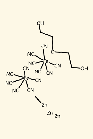 N#[C][Fe]([C]#N)([C]#N)([C]#N)([C]#N)[C]#N.N#[C][Fe]([C]#N)([C]#N)([C]#N)([C]#N)[C]#N.OCCOCCO.[CH3][Zn].[Zn].[Zn]